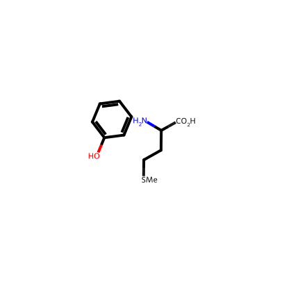 CSCCC(N)C(=O)O.Oc1ccccc1